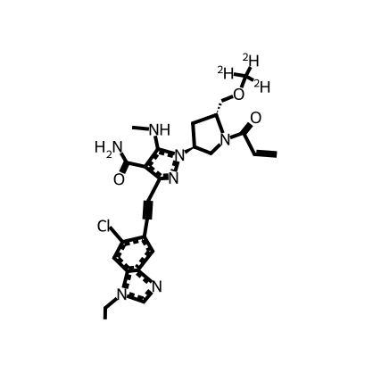 [2H]C([2H])([2H])OC[C@H]1C[C@H](n2nc(C#Cc3cc4ncn(CC)c4cc3Cl)c(C(N)=O)c2NC)CN1C(=O)C=C